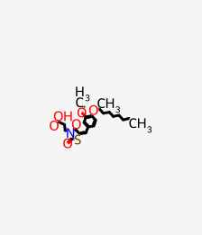 CCCCCCCC(C)Oc1ccc(/C=C2/SC(=O)N(CCC(=O)O)C2=O)cc1OCC